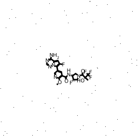 COc1ncc(-c2c(F)cc3c(N)ncnn23)cc1C(=O)N[C@@H]1CN(C(=O)C(C)(O)C(F)(F)F)C[C@@H]1F